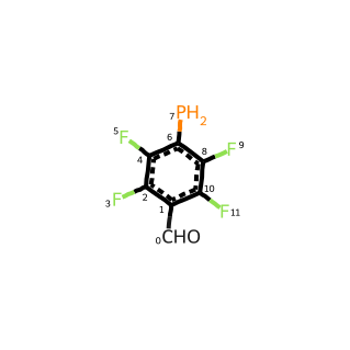 O=Cc1c(F)c(F)c(P)c(F)c1F